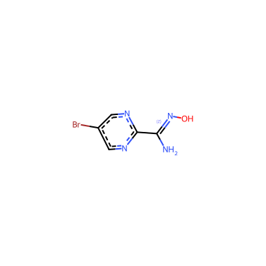 N/C(=N\O)c1ncc(Br)cn1